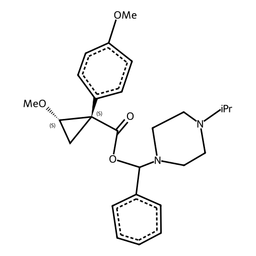 COc1ccc([C@@]2(C(=O)OC(c3ccccc3)N3CCN(C(C)C)CC3)C[C@@H]2OC)cc1